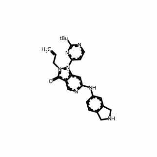 C=CCn1c(=O)c2cnc(Nc3ccc4c(c3)CNC4)cc2n1-c1ccnc(C(C)(C)C)n1